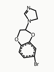 Brc1ccc2c(c1)OC(N1C=NCC1)CO2